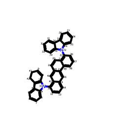 C1=Cc2c(c3ccccc3n2-c2cccc3cc4c(ccc5c(-n6c7ccccc7c7ccccc76)cccc54)cc23)CC1